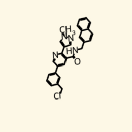 Cn1cc(-c2ncc(-c3cccc(CCl)c3)cc2C(=O)NCc2ccc3ccccc3c2)cn1